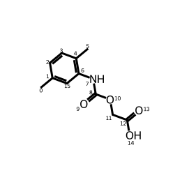 Cc1ccc(C)c(NC(=O)OCC(=O)O)c1